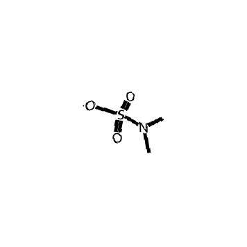 CN(C)S([O])(=O)=O